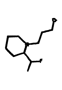 CC(F)C1CCCCN1CCC[O]